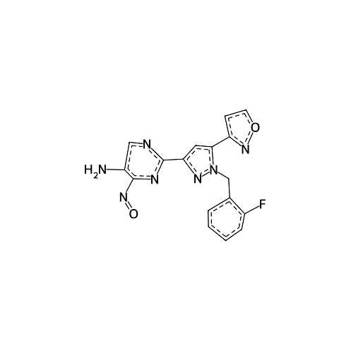 Nc1cnc(-c2cc(-c3ccon3)n(Cc3ccccc3F)n2)nc1N=O